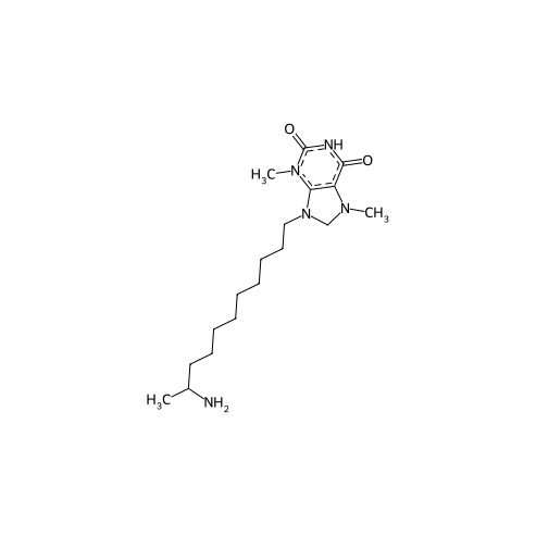 CC(N)CCCCCCCCCN1CN(C)c2c1n(C)c(=O)[nH]c2=O